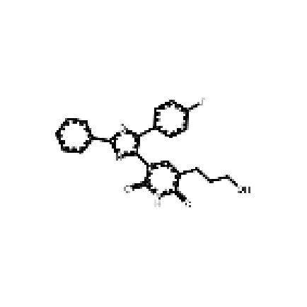 O=c1[nH]c(=O)n(-c2nc(-c3ccccc3)oc2-c2ccc(F)cc2)cc1CCCO